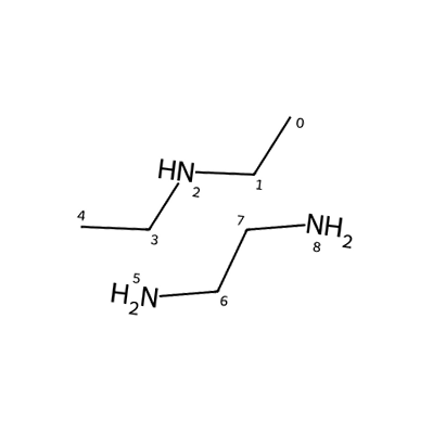 CCNCC.NCCN